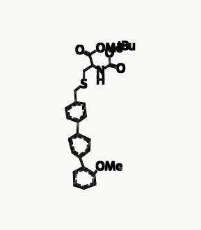 COC(=O)C(CSCc1ccc(-c2ccc(-c3ccccc3OC)cc2)cc1)NC(=O)OC(C)(C)C